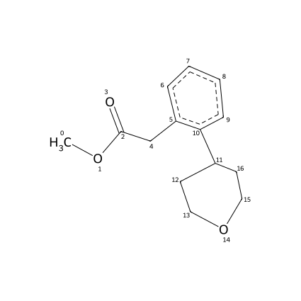 COC(=O)Cc1ccccc1C1CCOCC1